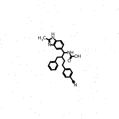 Cc1nc2cc(C(NC(=O)O)C(CCc3ccc(C#N)cc3)Cc3ccccc3)ccc2[nH]1